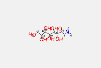 CN(C)CC(=O)C(O)C(O)C(O)C(O)C(O)CO